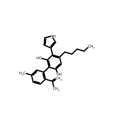 C=C(C)c1ccc(C)cc1-c1c(O)cc(CCCCC)c(-c2cc[nH]c2)c1O